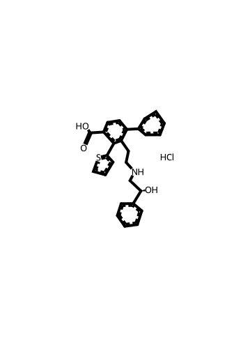 Cl.O=C(O)c1ccc(-c2ccccc2)c(CCNC[C@H](O)c2ccccc2)c1-c1cccs1